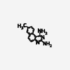 Cc1ccc2c(ccc3nc(N)nc(N)c32)c1